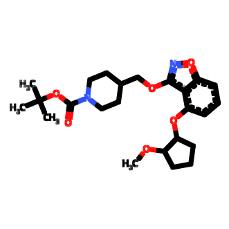 COC1CCCC1Oc1cccc2onc(OCC3CCN(C(=O)OC(C)(C)C)CC3)c12